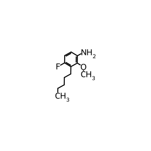 CCCCCc1c(F)ccc(N)c1OC